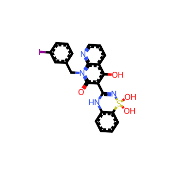 O=c1c(C2=NS(O)(O)c3ccccc3N2)c(O)c2cccnc2n1Cc1cccc(I)c1